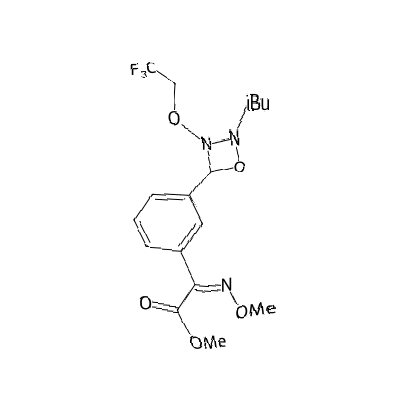 CCC(C)N1OC(c2cccc(C(=NOC)C(=O)OC)c2)N1OCC(F)(F)F